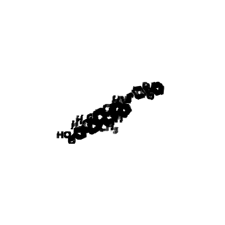 CC1(C)C(c2ccc(C(=O)O)cc2)=CC[C@@]2(C)C1CC[C@@]1(C)C3CC[C@@]4(NCCN5CCN(S(=O)(=O)c6ccccc6)CC5)CCCC4[C@H]3CCC12